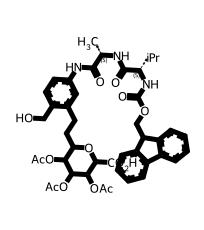 CC(=O)OC1C(CCc2cc(NC(=O)[C@H](C)NC(=O)[C@@H](NC(=O)OCC3c4ccccc4-c4ccccc43)C(C)C)ccc2CO)OC(C(=O)O)C(OC(C)=O)C1OC(C)=O